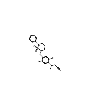 CC(CC#N)c1cc(F)c(CN2CCC[C@H](c3ccccc3)S2(=O)=O)cc1F